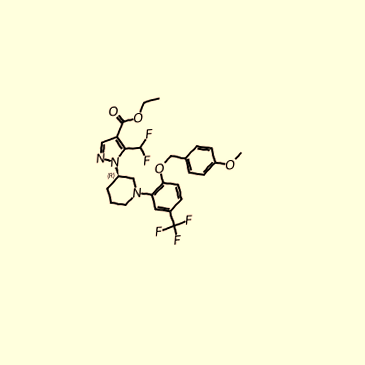 CCOC(=O)c1cnn([C@@H]2CCCN(c3cc(C(F)(F)F)ccc3OCc3ccc(OC)cc3)C2)c1C(F)F